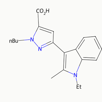 CCCCn1nc(-c2c(C)n(CC)c3ccccc23)cc1C(=O)O